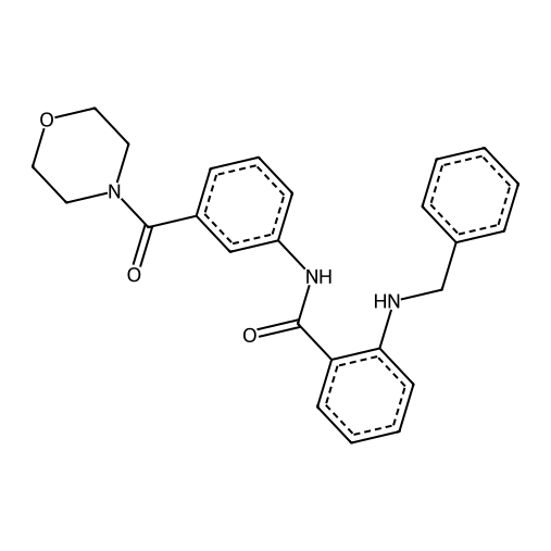 O=C(Nc1cccc(C(=O)N2CCOCC2)c1)c1ccccc1NCc1ccccc1